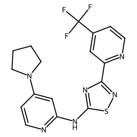 FC(F)(F)c1ccnc(-c2nsc(Nc3cc(N4CCCC4)ccn3)n2)c1